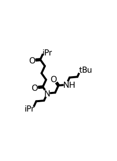 CC(C)CCN(CC(=O)NCCC(C)(C)C)C(=O)CCCC(=O)C(C)C